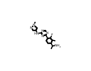 Cc1c(C(C)N)ccc(-c2ncnc(Nc3cnn(C)c3)n2)c1F